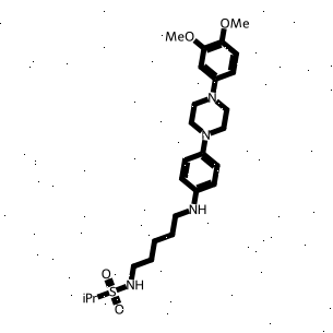 COc1ccc(N2CCN(c3ccc(NCCCCCNS(=O)(=O)C(C)C)cc3)CC2)cc1OC